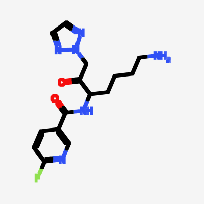 NCCCCC(NC(=O)c1ccc(F)nc1)C(=O)Cn1nccn1